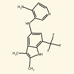 Cc1[nH]c2c(C(F)(F)F)cc(Nc3cnccc3N)cc2c1C